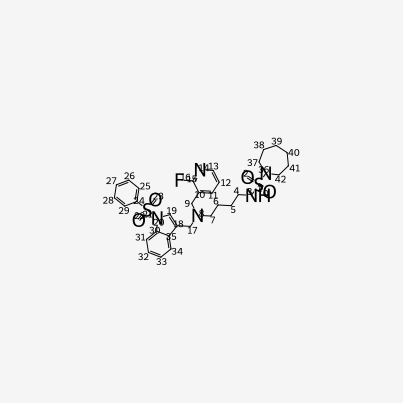 O=S(=O)(NCCCCN(Cc1cccnc1F)Cc1cn(S(=O)(=O)c2ccccc2)c2ccccc12)N1CCCCCC1